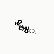 Cn1cc(-c2ccnc(Nc3cccc(C(=O)O)c3)n2)c2ccccc21